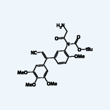 COc1ccc(C(=CC#N)c2cc(OC)c(OC)c(OC)c2)cc1N(C(=O)CN)C(=O)OC(C)(C)C